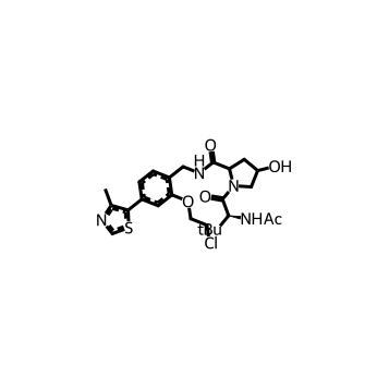 CC(=O)N[C@H](C(=O)N1CC(O)CC1C(=O)NCc1ccc(-c2scnc2C)cc1OCCCl)C(C)(C)C